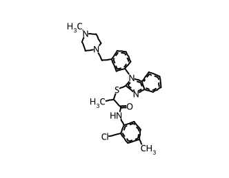 Cc1ccc(NC(=O)C(C)Sc2nc3ccccc3n2-c2cccc(CN3CCN(C)CC3)c2)c(Cl)c1